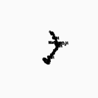 COC(=O)[C@H](CCCCNC(=O)CCCc1ccc(I)cc1)NC(=O)C(CCC(=O)O)NC(=O)CCOCCOCCOCCOCCNC(=O)CCC(=O)N1Cc2ccccc2C#Cc2ccccc21